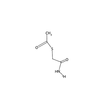 [3H]NC(=O)CSC(C)=O